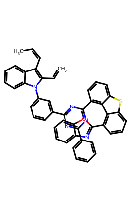 C=Cc1c(/C=C\C)c2ccccc2n1-c1cccc(-c2nc(-c3ccccc3)nc(-c3cccc4sc5cccc(-c6nc7ccccc7o6)c5c34)n2)c1